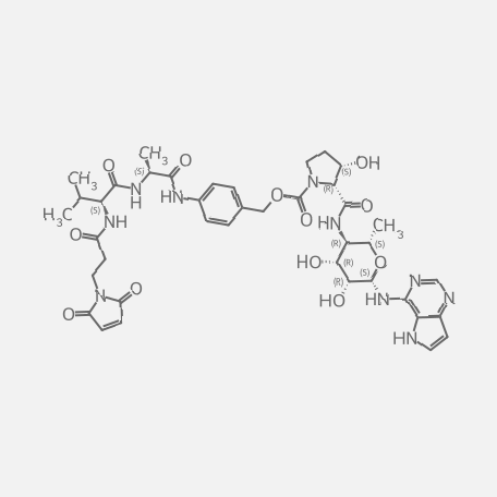 CC(C)[C@H](NC(=O)CCN1C(=O)C=CC1=O)C(=O)N[C@@H](C)C(=O)Nc1ccc(COC(=O)N2CC[C@H](O)[C@@H]2C(=O)N[C@@H]2[C@@H](O)[C@@H](O)[C@@H](Nc3ncnc4cc[nH]c34)O[C@H]2C)cc1